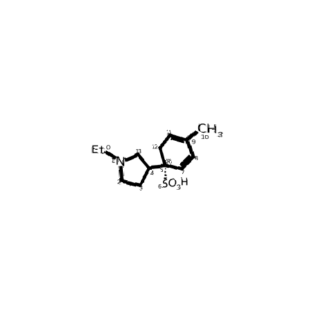 CCN1CCC([C@]2(S(=O)(=O)O)C=CC(C)=CC2)C1